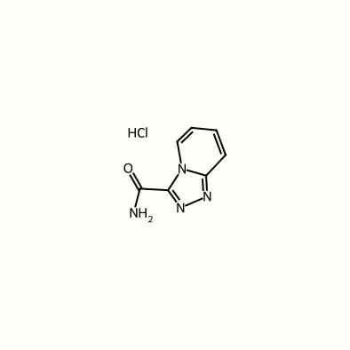 Cl.NC(=O)c1nnc2ccccn12